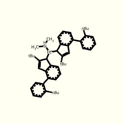 CCCCc1ccccc1-c1cccc2c1C=C(C(C)(C)C)[CH]2[Hf]([CH]1C(C(C)(C)C)=Cc2c(-c3ccccc3CCCC)cccc21)[SiH](C)C